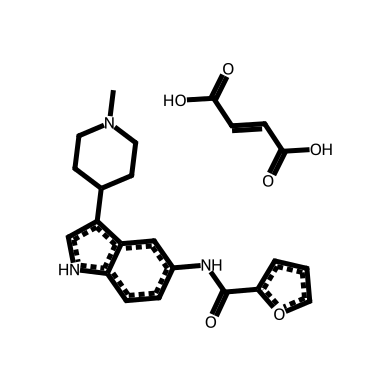 CN1CCC(c2c[nH]c3ccc(NC(=O)c4ccco4)cc23)CC1.O=C(O)C=CC(=O)O